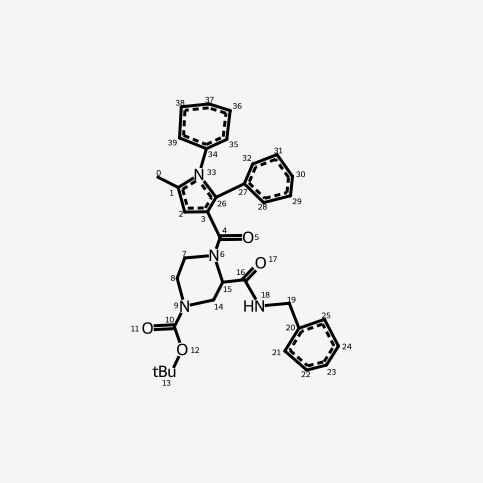 Cc1cc(C(=O)N2CCN(C(=O)OC(C)(C)C)CC2C(=O)NCc2ccccc2)c(-c2ccccc2)n1-c1ccccc1